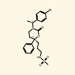 C[C@@H](c1ccc(Br)cc1)N1CC[C@@](CCCNS(C)(=O)=O)(c2ccccc2)OC1=O